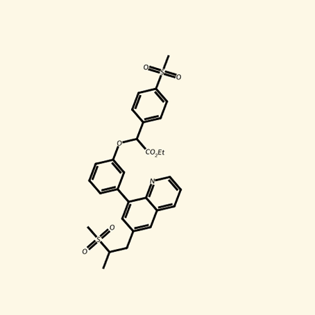 CCOC(=O)C(Oc1cccc(-c2cc(CC(C)S(C)(=O)=O)cc3cccnc23)c1)c1ccc(S(C)(=O)=O)cc1